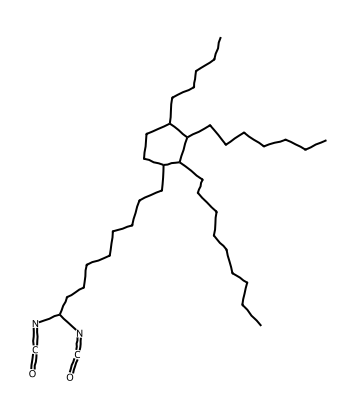 CCCCCCCCCC1C(CCCCCCCCC(N=C=O)N=C=O)CCC(CCCCC)C1CCCCCCC